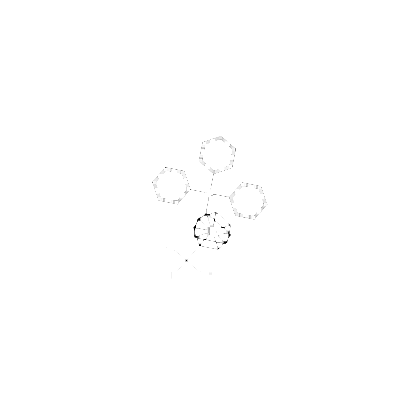 CC(C)(C)C(P)(C(C)(C)C)[C]12[CH]3[CH]4[C]5([Si](c6ccccc6)(c6ccccc6)c6ccccc6)[CH]1[Fe]34251678[CH]2[CH]1[CH]6[CH]7[CH]28